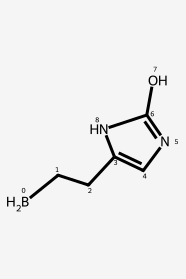 BCCc1cnc(O)[nH]1